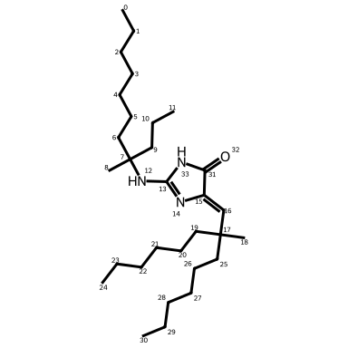 CCCCCCCC(C)(CCC)NC1=N/C(=C\C(C)(CCCCCC)CCCCCC)C(=O)N1